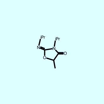 CC(C)N=C1OC(C)C(=O)N1C(C)C